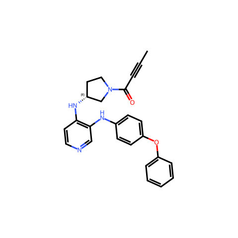 CC#CC(=O)N1CC[C@@H](Nc2ccncc2Nc2ccc(Oc3ccccc3)cc2)C1